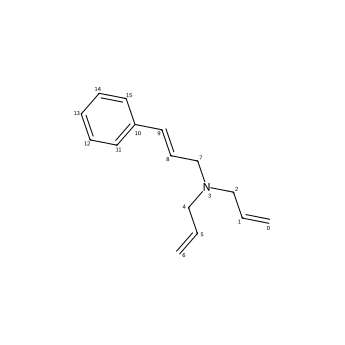 C=CCN(CC=C)CC=Cc1ccccc1